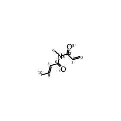 C=CC(=O)N(C)C(=O)C=CC